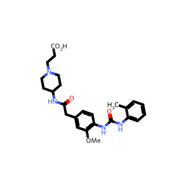 COc1cc(CC(=O)NC2CCN(CCC(=O)O)CC2)ccc1NC(=O)Nc1ccccc1C